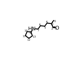 CC(C=O)CCCCNC1CCCC1